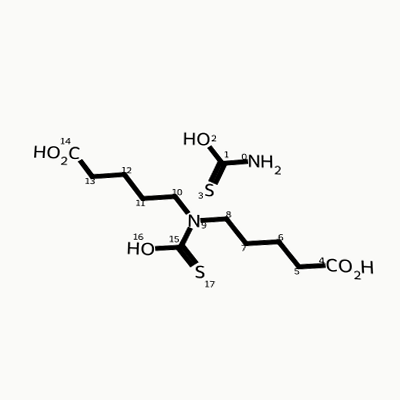 NC(O)=S.O=C(O)CCCCN(CCCCC(=O)O)C(O)=S